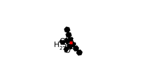 CC1=C(c2ccc(C)o2)[C]([SiH2][C]2C(c3ccc(C)o3)=C(C)c3c2ccc(C)c3-c2ccc(-c3ccccc3)cc2)c2ccc(C)c(-c3ccc(-c4ccccc4)cc3)c21